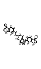 Cc1c(CCN2CCc3c(cnn3-c3ccc4c(c3)COC4=O)C2)ccc2c1COC2=O